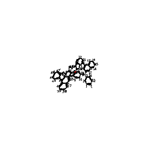 c1ccc(N(c2ccccc2)c2cc3ccccc3c3c4cccc5c6nc7c(nc6n(c23)c54)c2cc3ccccc3c3c4ccccc4n7c23)cc1